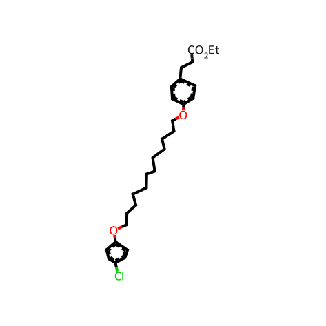 CCOC(=O)CCc1ccc(OCCCCCCCCCCCCOc2ccc(Cl)cc2)cc1